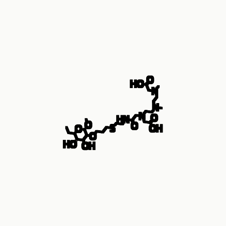 CCC1O[C@H](OC)C(OCCCSCCNC(=O)CN(CCN(C)CCN(C)CC(=O)O)CC(=O)O)[C@@H](O)[C@@H]1O